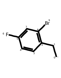 [CH2]Cc1ccc(F)cc1Br